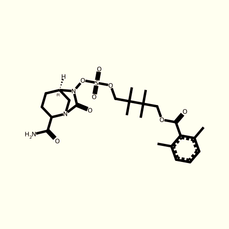 Cc1cccc(C)c1C(=O)OCC(C)(C)C(C)(C)COS(=O)(=O)ON1C(=O)N2C[C@H]1CCC2C(N)=O